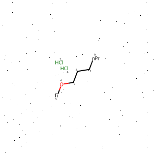 CCCCCC[O][Ti].Cl.Cl